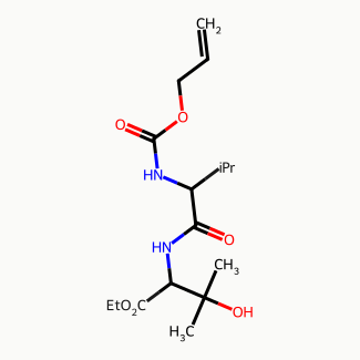 C=CCOC(=O)NC(C(=O)NC(C(=O)OCC)C(C)(C)O)C(C)C